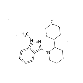 Cn1nc(N2CCCCC2C2CCNCC2)c2ccccc21